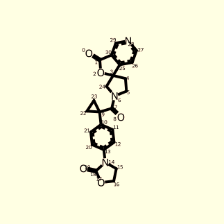 O=C1OC2(CCN(C(=O)C3(c4ccc(N5CCOC5=O)cc4)CC3)C2)c2ccncc21